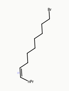 CCC/C=C\CCCCCCCBr